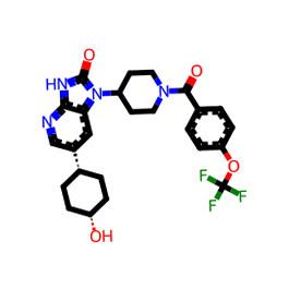 O=C(c1ccc(OC(F)(F)F)cc1)N1CCC(n2c(=O)[nH]c3ncc([C@H]4CC[C@@H](O)CC4)cc32)CC1